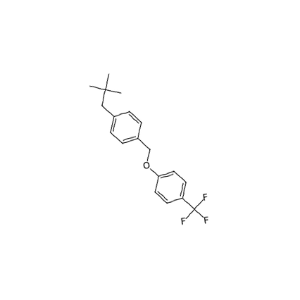 CC(C)(C)Cc1ccc(COc2ccc(C(F)(F)F)cc2)cc1